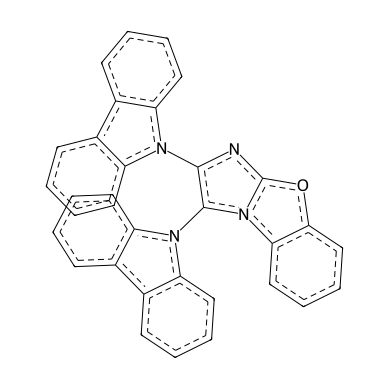 c1ccc2c(c1)oc1nc(-n3c4ccccc4c4ccccc43)c(-n3c4ccccc4c4ccccc43)n12